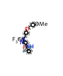 COc1ccc(CCOc2ccc(CCn3c(C(F)(F)F)nc4cc(NC(=O)c5c(F)cccc5F)ccc43)cc2)cc1